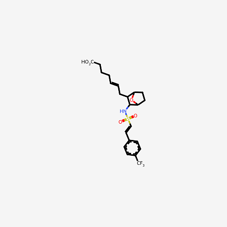 O=C(O)CCC/C=C/CC1C2CCC(O2)C1NS(=O)(=O)/C=C/c1ccc(C(F)(F)F)cc1